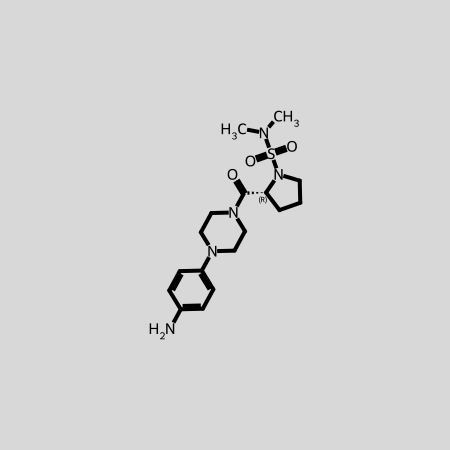 CN(C)S(=O)(=O)N1CCC[C@@H]1C(=O)N1CCN(c2ccc(N)cc2)CC1